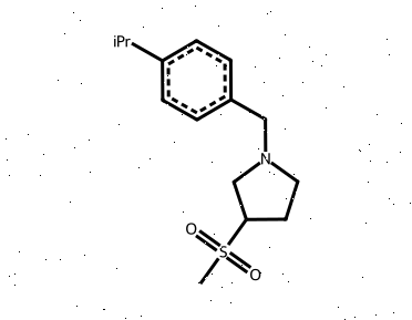 CC(C)c1ccc(CN2CCC(S(C)(=O)=O)C2)cc1